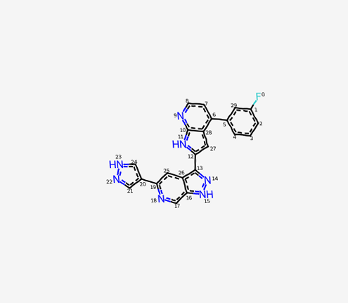 Fc1cccc(-c2ccnc3[nH]c(-c4n[nH]c5cnc(-c6cn[nH]c6)cc45)cc23)c1